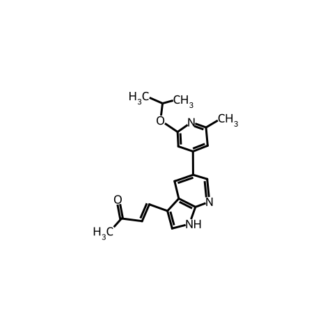 CC(=O)/C=C/c1c[nH]c2ncc(-c3cc(C)nc(OC(C)C)c3)cc12